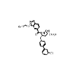 CC(=O)OCOn1nnc2ccc(C(=O)N[C@H](Cc3ccc(-c4cccc(Cl)c4)cc3)C[C@@H](O)C(=O)O)cc21